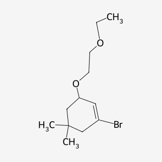 CCOCCOC1C=C(Br)CC(C)(C)C1